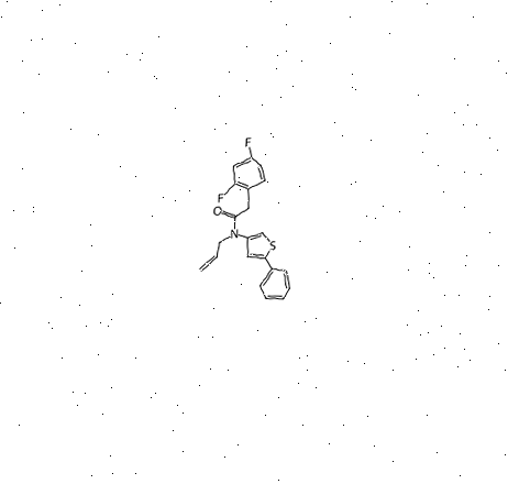 C=CCN(C(=O)Cc1ccc(F)cc1F)c1csc(-c2ccccc2)c1